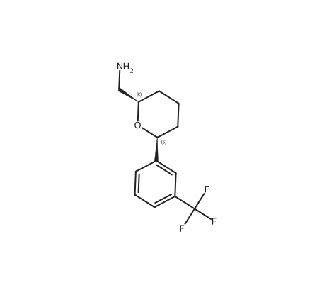 NC[C@H]1CCC[C@@H](c2cccc(C(F)(F)F)c2)O1